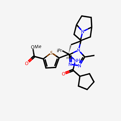 COC(=O)c1ccc([C@H](CCN2C3CCC2CC(n2c(C)nnc2C(C)C)C3)NC(=O)C2CCCC2)s1